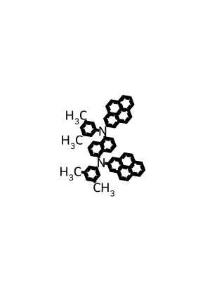 Cc1cc(C)cc(N(c2cc3ccc4cccc5ccc(c2)c3c45)c2cccc3c(N(c4cc(C)cc(C)c4)c4cc5ccc6cccc7ccc(c4)c5c67)cccc23)c1